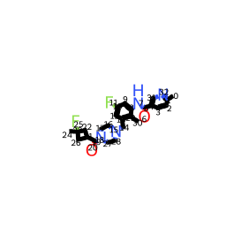 Cc1ccc(C(=O)Nc2cc(F)cc(CN3CCN(C(=O)C4CC(C)(F)C4)CC3)c2C)cn1